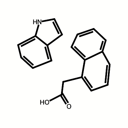 O=C(O)Cc1cccc2ccccc12.c1ccc2[nH]ccc2c1